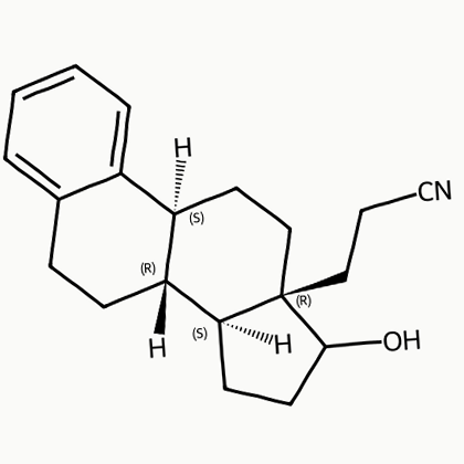 N#CCC[C@]12CC[C@@H]3c4ccccc4CC[C@H]3[C@@H]1CCC2O